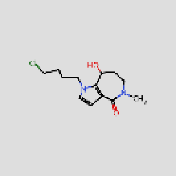 CN1CCC(O)c2c(ccn2CCCCCl)C1=O